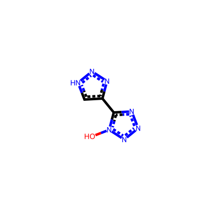 On1nnnc1-c1c[nH]nn1